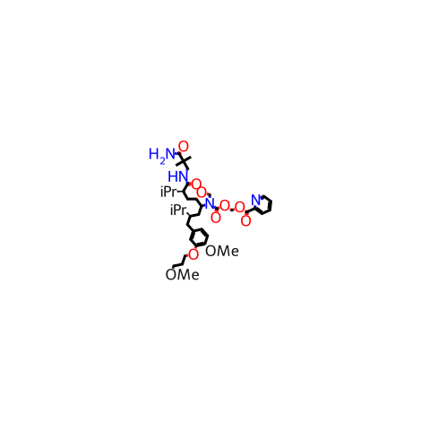 COCCCOc1cc(C[C@H](CC2C(C[C@H](C(=O)NCC(C)(C)C(N)=O)C(C)C)OCN2C(=O)OCOC(=O)c2ccccn2)C(C)C)ccc1OC